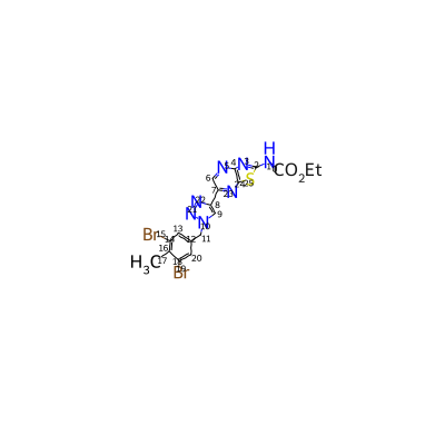 CCOC(=O)Nc1nc2ncc(-c3cn(Cc4cc(Br)c(C)c(Br)c4)nn3)nc2s1